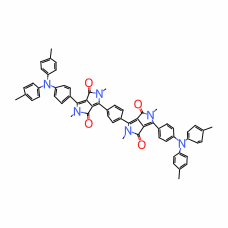 Cc1ccc(N(c2ccc(C)cc2)c2ccc(C3=C4C(=O)N(C)C(c5ccc(C6=C7C(=O)N(C)C(c8ccc(N(c9ccc(C)cc9)c9ccc(C)cc9)cc8)=C7C(=O)N6C)cc5)=C4C(=O)N3C)cc2)cc1